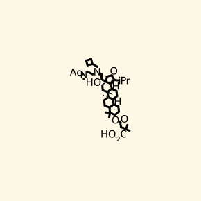 CC(=O)N(C)CCN(CC1CCC1)C[C@H](O)[C@@]12CC[C@]3(C)[C@H](CC[C@@H]4[C@@]5(C)CC[C@H](OC(=O)CC(C)(C)C(=O)O)C(C)(C)C5CC[C@]43C)C1=C(C(C)C)C(=O)C2